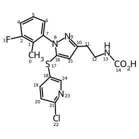 Cc1c(F)cccc1-n1nc(CCNC(=O)O)cc1Sc1ccc(Cl)nc1